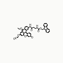 CCOC(=O)c1ccc(NC(=O)CCNC(=O)OCC2c3ccccc3-c3ccccc32)cc1-c1c2ccc(=O)cc-2oc2cc(OC=C=O)ccc12